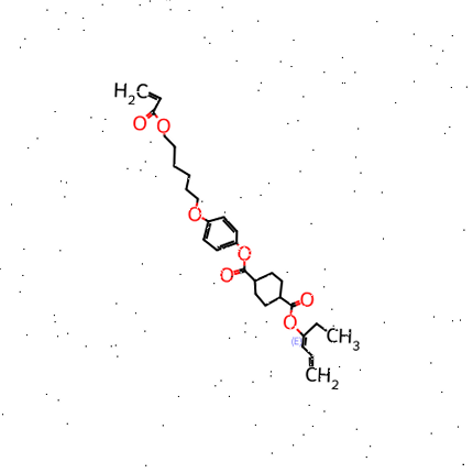 C=C/C=C(\CC)OC(=O)C1CCC(C(=O)Oc2ccc(OCCCCCCOC(=O)C=C)cc2)CC1